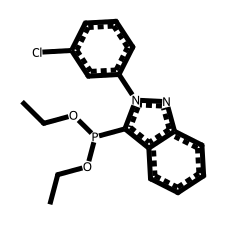 CCOP(OCC)c1c2ccccc2nn1-c1cccc(Cl)c1